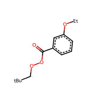 CCOc1cccc(C(=O)OO[CH]C(C)(C)C)c1